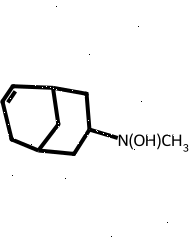 CN(O)C1CC2C=CCC(C2)C1